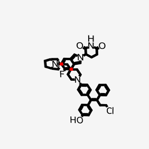 O=C1CCC(n2cc3cc(F)c(N4C5CCC4CN(CC4CCN(c6ccc(C(=C(CCCl)c7ccccc7)c7ccc(O)cc7)cc6)CC4)C5)cc3c2)C(=O)N1